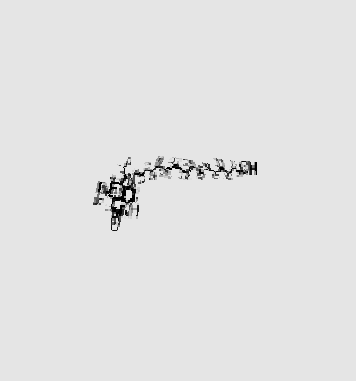 CCc1c(C)c2c3c(C(F)(F)F)cc(=O)[nH]c3ccc2n1CCCCCCCCCSCCCCCCO